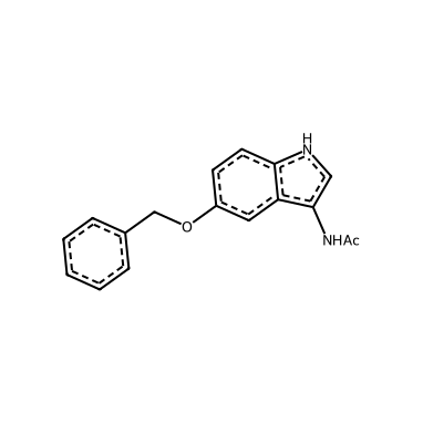 CC(=O)Nc1c[nH]c2ccc(OCc3ccccc3)cc12